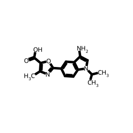 Cc1nc(-c2ccc3c(c2)c(N)cn3C(C)C)oc1C(=O)O